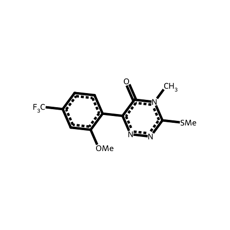 COc1cc(C(F)(F)F)ccc1-c1nnc(SC)n(C)c1=O